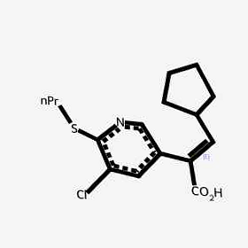 CCCSc1ncc(/C(=C\C2CCCC2)C(=O)O)cc1Cl